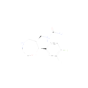 NC(=O)NC[C@@H]1CNCCO[C@@H]1c1ccc(F)c(Cl)c1